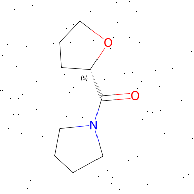 O=C([C@@H]1CCCO1)N1CCCC1